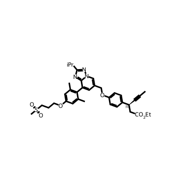 CC#C[C@@H](CC(=O)OCC)c1ccc(OCc2cc(-c3c(C)cc(OCCCS(C)(=O)=O)cc3C)c3nc(C(C)C)nn3c2)cc1